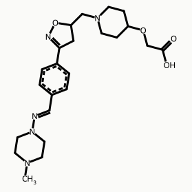 CN1CCN(N=Cc2ccc(C3=NOC(CN4CCC(OCC(=O)O)CC4)C3)cc2)CC1